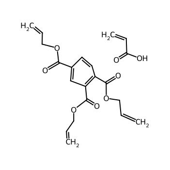 C=CC(=O)O.C=CCOC(=O)c1ccc(C(=O)OCC=C)c(C(=O)OCC=C)c1